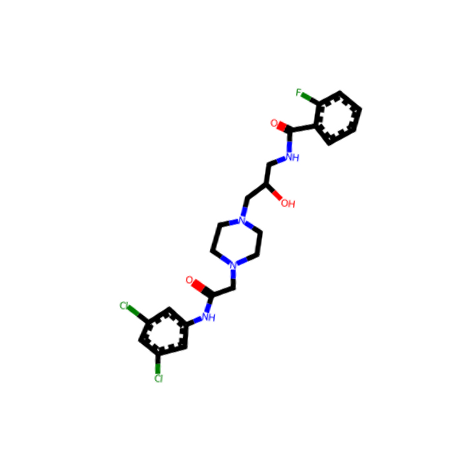 O=C(CN1CCN(CC(O)CNC(=O)c2ccccc2F)CC1)Nc1cc(Cl)cc(Cl)c1